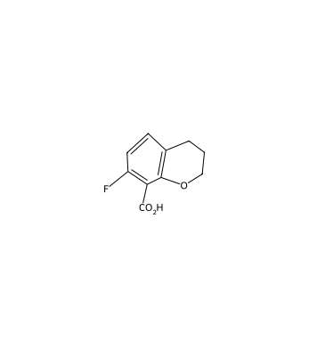 O=C(O)c1c(F)ccc2c1OCCC2